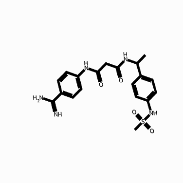 CC(NC(=O)CC(=O)Nc1ccc(C(=N)N)cc1)c1ccc(NS(C)(=O)=O)cc1